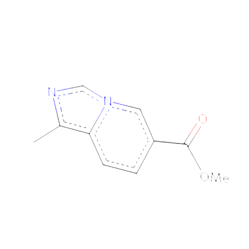 COC(=O)c1ccc2c(C)ncn2c1